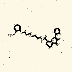 COc1ccccc1OCCCNCCCNC(=O)c1cccc2c(=O)c(C)c(-c3ccccc3)oc12